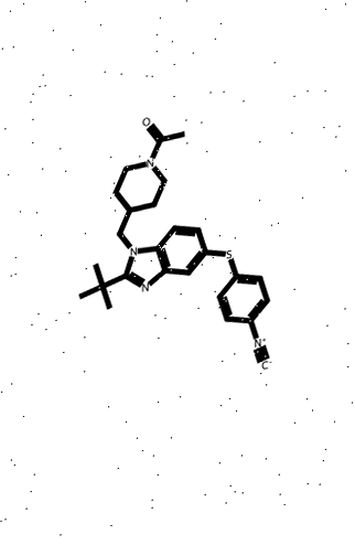 [C-]#[N+]c1ccc(Sc2ccc3c(c2)nc(C(C)(C)C)n3CC2CCN(C(C)=O)CC2)cc1